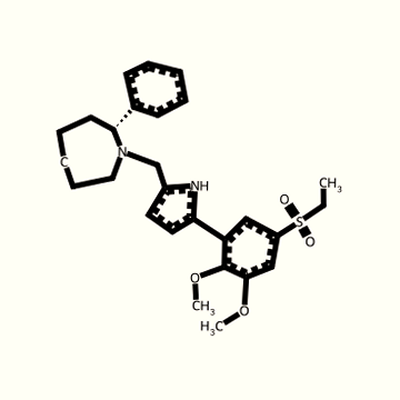 CCS(=O)(=O)c1cc(OC)c(OC)c(-c2ccc(CN3CCCCC[C@@H]3c3ccccc3)[nH]2)c1